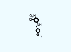 N[C@@H]1CC[C@H](CNc2ccc([N+](=O)[O-])c(Cl)c2)C1